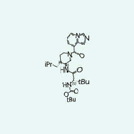 CC(C)C[C@@H]1CCN(C(=O)c2cccn3cncc23)C[C@H]1NC(=O)[C@@H](NC(=O)OC(C)(C)C)C(C)(C)C